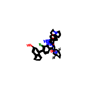 O=C(Cc1n[nH]c2ccccc12)N1[C@@H]2CC[C@H]1CN(c1nc(OCC34CCCN3CCC4)nc3c(F)c(-c4cc(O)cc5ccccc45)ccc13)C2